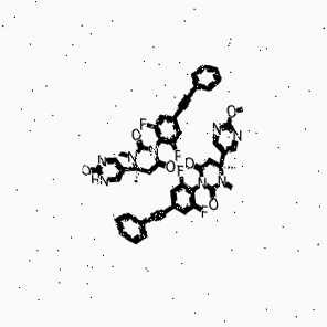 CN1C(=O)N(c2c(F)cc(C#Cc3ccccc3)cc2F)C(=O)C[C@@]1(C)c1cnc(=O)[nH]c1.COc1ncc([C@]2(C)CC(=O)N(c3c(F)cc(C#Cc4ccccc4)cc3F)C(=O)N2C)cn1